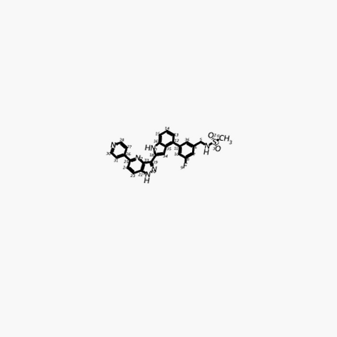 CS(=O)(=O)NCc1cc(F)cc(-c2cccc3[nH]c(-c4n[nH]c5ccc(-c6ccncc6)nc45)cc23)c1